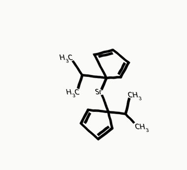 CC(C)[C]1([Sr][C]2(C(C)C)C=CC=C2)C=CC=C1